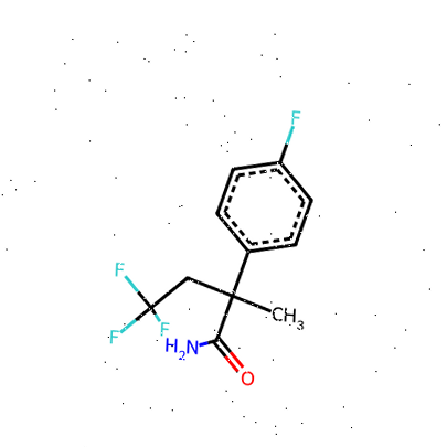 CC(CC(F)(F)F)(C(N)=O)c1ccc(F)cc1